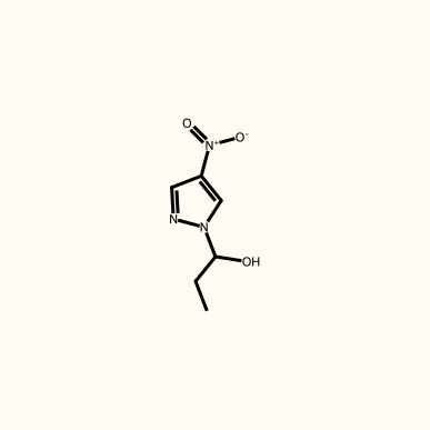 CCC(O)n1cc([N+](=O)[O-])cn1